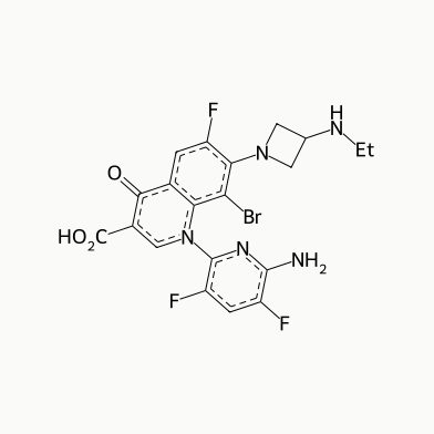 CCNC1CN(c2c(F)cc3c(=O)c(C(=O)O)cn(-c4nc(N)c(F)cc4F)c3c2Br)C1